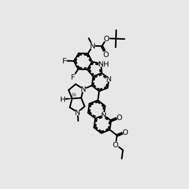 CCOC(=O)c1ccc2ccc(-c3cnc4[nH]c5c(N(C)C(=O)OC(C)(C)C)cc(F)c(F)c5c4c3N3CC[C@H]4CN(C)CC43)cn2c1=O